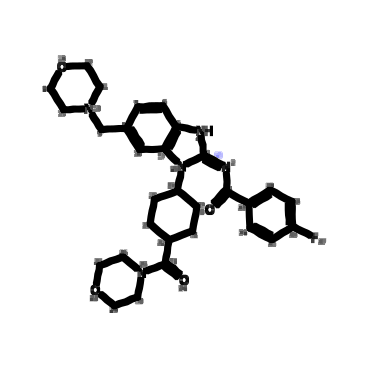 O=C(/N=c1/[nH]c2ccc(CN3CCOCC3)cc2n1C1CCC(C(=O)N2CCOCC2)CC1)c1ccc(F)cc1